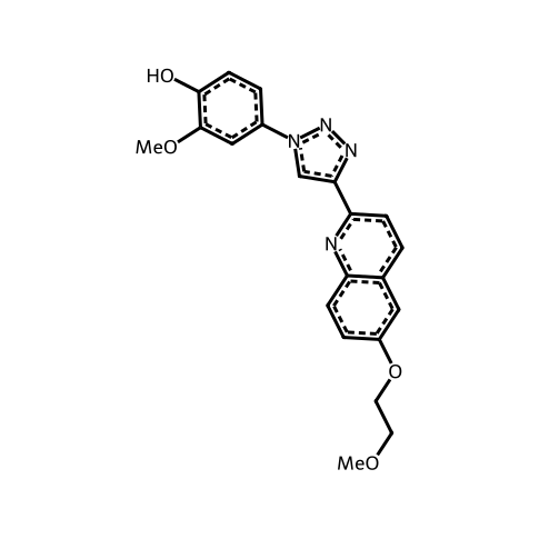 COCCOc1ccc2nc(-c3cn(-c4ccc(O)c(OC)c4)nn3)ccc2c1